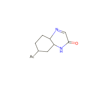 CC(=O)C1CCC2N=CC(=O)NC2C1